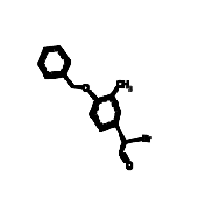 Cc1cc(C(Br)C=O)ccc1OCc1ccccc1